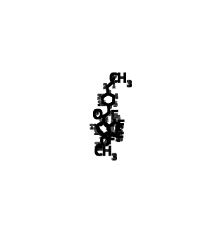 CCCC1CCC(CC(=O)c2ccc(OCC)c(C(F)(F)F)c2C(F)F)CC1